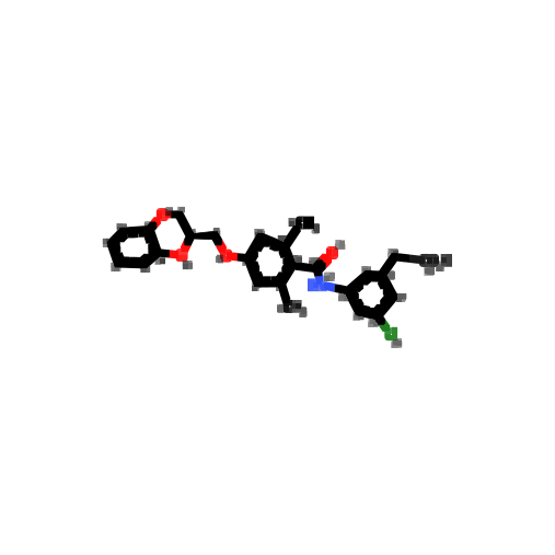 Cc1cc(OC[C@@H]2COc3ccccc3O2)cc(C)c1C(=O)Nc1cc(Cl)cc(CC(=O)O)c1